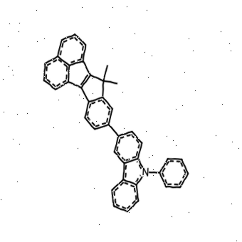 CC1(C)C2=C(c3ccc(-c4ccc5c(c4)c4ccccc4n5-c4ccccc4)cc31)c1cccc3cccc2c13